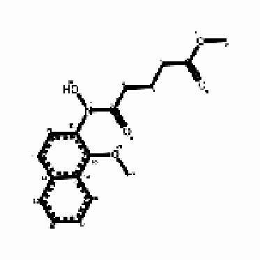 COC(=O)CCCC(=O)N(O)c1ccc2ccccc2c1OC